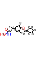 Cc1cc(C(C)CC(=O)NO)cc(C)c1OC(C)c1ccccc1